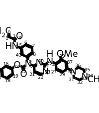 C=CC(=O)Nc1cccc(N(C(=O)Oc2ccccc2)c2ccnc(Nc3ccc(N4CCN(C)CC4)cc3OC)n2)c1